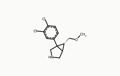 COC[C@@H]1C2CNCC21c1ccc(Cl)c(Cl)c1